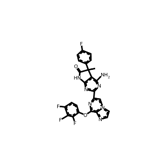 CC1(c2ccc(F)cc2)C(=O)Nc2nc(-c3cn4ccnc4c(Oc4ccc(F)c(F)c4F)n3)nc(N)c21